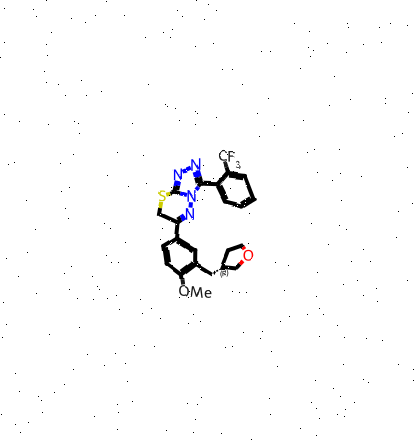 COc1ccc(C2=Nn3c(nnc3-c3ccccc3C(F)(F)F)SC2)cc1C[C@@H]1CCOC1